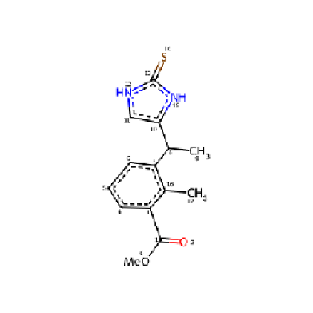 COC(=O)c1cccc(C(C)c2c[nH]c(=S)[nH]2)c1C